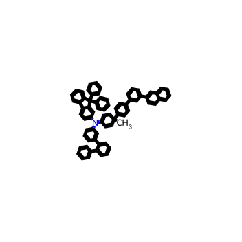 CC1(c2ccc(-c3cccc(-c4ccc5ccccc5c4)c3)cc2)C=CC(N(c2cccc(-c3ccccc3-c3ccccc3)c2)c2ccc3c(c2)C(c2ccccc2)(c2ccccc2)c2ccccc2-3)=CC1